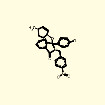 C[C@@H]1C=C[C@@H](OC2(c3ccc(Cl)cc3)c3ccccc3C(=O)N2Cc2ccc([N+](=O)[O-])cc2)CC1